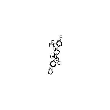 C[C@@H]1CN(c2ccc(F)cc2C(F)(F)F)CCN1S(=O)(=O)c1ccc(N2CCCC2)cc1Cl